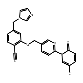 N#Cc1ccc(Cn2ccnc2)cc1OCc1ccc(-n2cc(Cl)ccc2=O)nc1